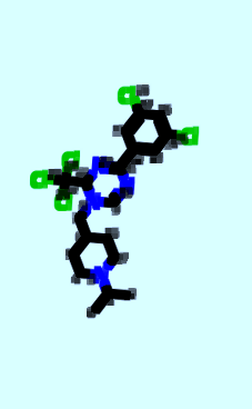 CC(C)N1CCC(CN2C=NC(c3cc(Cl)cc(Cl)c3)=NC2C(Cl)(Cl)Cl)CC1